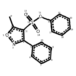 Cc1onc(-c2ccccc2)c1S(=O)(=O)Oc1ccccc1